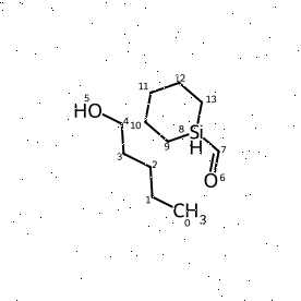 CCCCCO.O=C[SiH]1CCCCC1